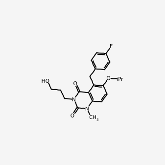 CC(C)Oc1ccc2c(c1Cc1ccc(F)cc1)c(=O)n(CCCO)c(=O)n2C